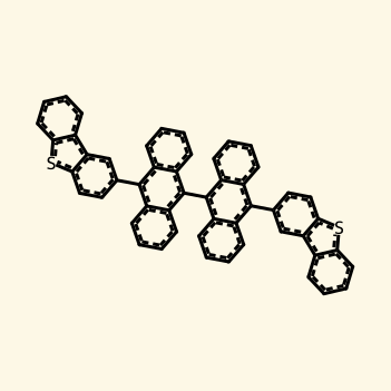 c1ccc2c(c1)sc1ccc(-c3c4ccccc4c(-c4c5ccccc5c(-c5ccc6sc7ccccc7c6c5)c5ccccc45)c4ccccc34)cc12